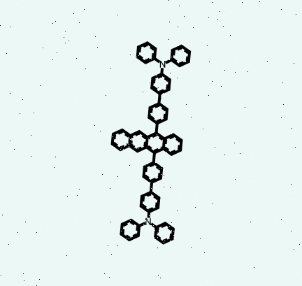 c1ccc(N(c2ccccc2)c2ccc(-c3ccc(-c4c5ccccc5c(-c5ccc(-c6ccc(N(c7ccccc7)c7ccccc7)cc6)cc5)c5cc6ccccc6cc45)cc3)cc2)cc1